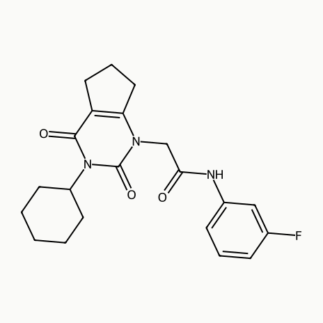 O=C(Cn1c2c(c(=O)n(C3CCCCC3)c1=O)CCC2)Nc1cccc(F)c1